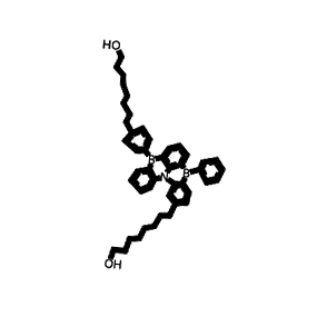 OCCCCCCCCc1ccc(B2c3ccccc3N3c4cc(CCCCCCCCO)ccc4B(c4ccccc4)c4cccc2c43)cc1